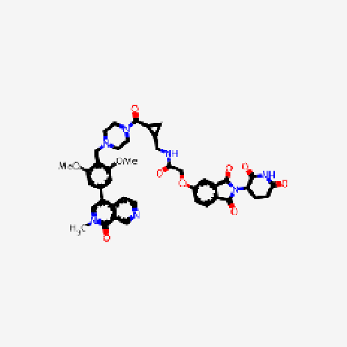 COc1cc(-c2cn(C)c(=O)c3cnccc23)cc(OC)c1CN1CCN(C(=O)C2CC2CNC(=O)COc2ccc3c(c2)C(=O)N(C2CCC(=O)NC2=O)C3=O)CC1